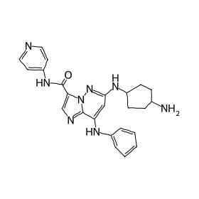 NC1CCC(Nc2cc(Nc3ccccc3)c3ncc(C(=O)Nc4ccncc4)n3n2)CC1